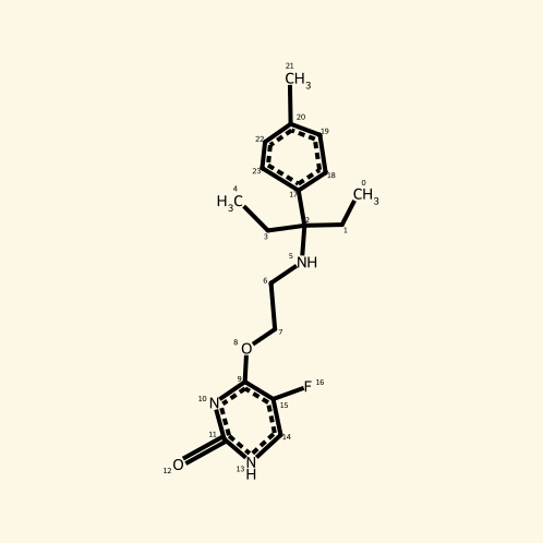 CCC(CC)(NCCOc1nc(=O)[nH]cc1F)c1ccc(C)cc1